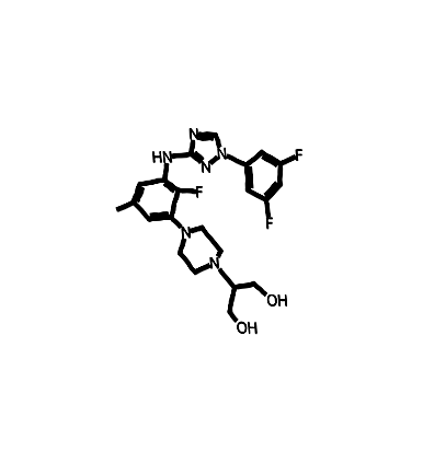 Cc1cc(Nc2ncn(-c3cc(F)cc(F)c3)n2)c(F)c(N2CCN(C(CO)CO)CC2)c1